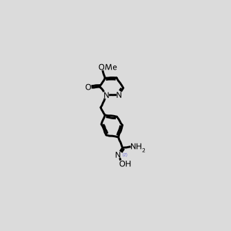 COc1ccnn(Cc2ccc(/C(N)=N/O)cc2)c1=O